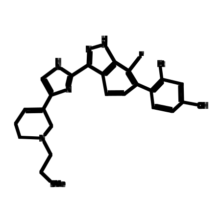 CCc1cc(O)ccc1-c1ccc2c(-c3nc(C4=CCCN(CCSC)C4)c[nH]3)n[nH]c2c1F